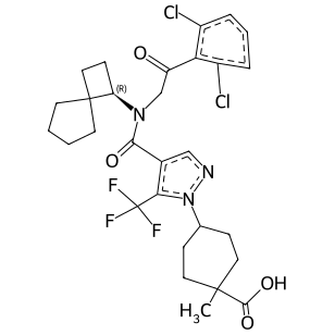 CC1(C(=O)O)CCC(n2ncc(C(=O)N(CC(=O)c3c(Cl)cccc3Cl)[C@@H]3CCC34CCCC4)c2C(F)(F)F)CC1